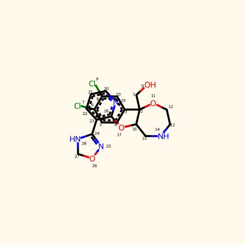 OCC1(c2ccc(Cl)c(Cl)c2)OCCNCC1Oc1ncccc1C1=NOCN1